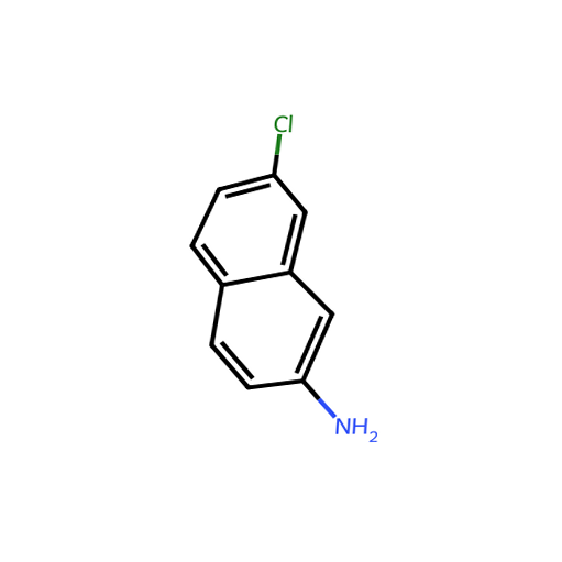 Nc1ccc2ccc(Cl)cc2c1